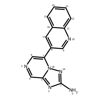 Nc1nc2cncc(-c3cnc4ccccc4c3)n2n1